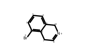 Brc1cccc2c1CC=NC2